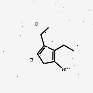 CCC1=CC[C]([Hf+2])=C1CC.[Cl-].[Cl-]